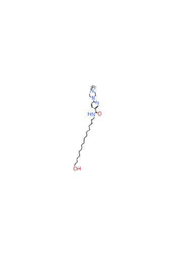 CC(C)N1CCN(c2ccc(C(=O)NCCCCCCCCCCCCCCCCO)cn2)CC1